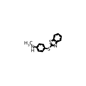 CNc1ccc(Sc2nc3ccccc3s2)cc1